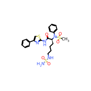 CS(=O)(=O)N(c1ccccc1)[C@@H](CCCCNS(N)(=O)=O)C(=O)Nc1nc(-c2ccccc2)cs1